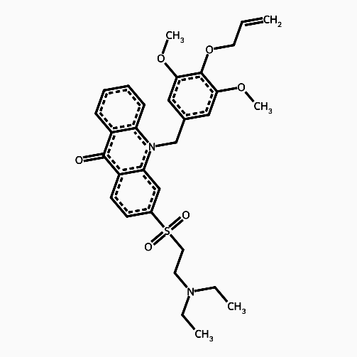 C=CCOc1c(OC)cc(Cn2c3ccccc3c(=O)c3ccc(S(=O)(=O)CCN(CC)CC)cc32)cc1OC